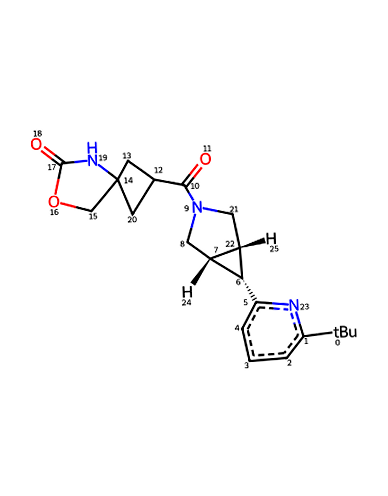 CC(C)(C)c1cccc([C@@H]2[C@@H]3CN(C(=O)C4CC5(COC(=O)N5)C4)C[C@@H]32)n1